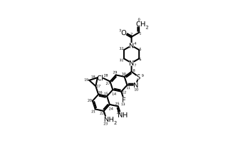 C=CC(=O)N1CCN(c2snc3c(F)c(-c4c(C5CC5)ccc(N)c4C=N)c(Cl)cc23)CC1